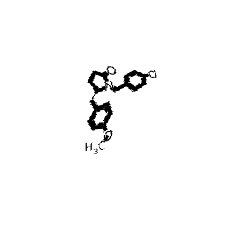 COc1ccc(C[C@@H]2CCC(=O)N2Cc2ccc(Cl)cc2)cc1